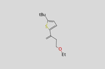 C=C(CCOCC)c1ccc(C(C)(C)C)s1